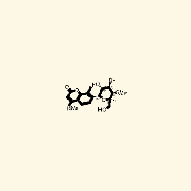 CNc1cc(=O)oc2c(C)c([C@@H]3O[C@](C)(CO)[C@H](OC)[C@H](O)[C@H]3O)ccc12